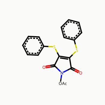 CC(=O)ON1C(=O)C(Sc2ccccc2)=C(Sc2ccccc2)C1=O